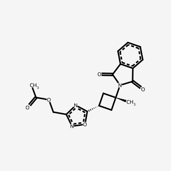 CC(=O)OCc1noc([C@H]2C[C@@](C)(N3C(=O)c4ccccc4C3=O)C2)n1